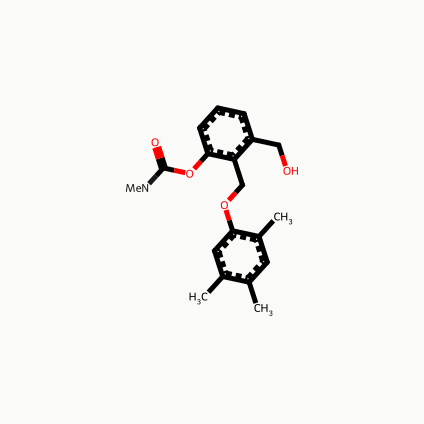 CNC(=O)Oc1cccc(CO)c1COc1cc(C)c(C)cc1C